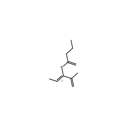 C=C(CCC)S/C(=C\C)C(=C)C